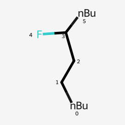 CCCCCCC(F)CCCC